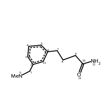 CNCc1cccc(CCCC(N)=O)c1